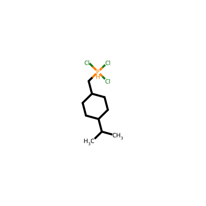 CC(C)C1CCC(C[PH](Cl)(Cl)Cl)CC1